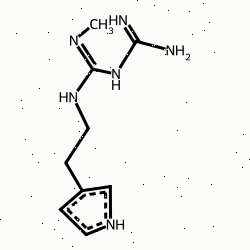 C/N=C(/NCCc1cc[nH]c1)NC(=N)N